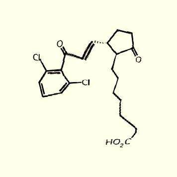 O=C(O)CCCCCC[C@@H]1C(=O)CC[C@H]1C=CC(=O)c1c(Cl)cccc1Cl